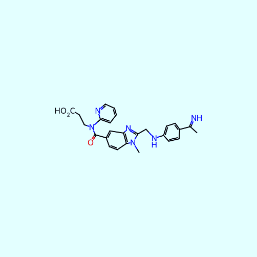 CC(=N)c1ccc(NCc2nc3cc(C(=O)N(CCC(=O)O)c4ccccn4)ccc3n2C)cc1